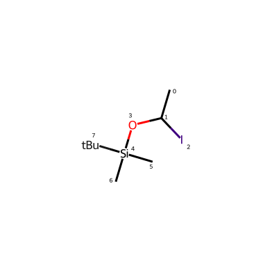 CC(I)O[Si](C)(C)C(C)(C)C